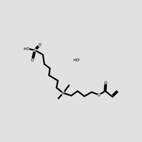 C=CC(=O)OCCCC[N+](C)(C)CCCCCCS(=O)(=O)O.[OH-]